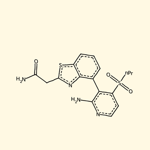 CCCS(=O)(=O)c1ccnc(N)c1-c1cccc2sc(CC(N)=O)nc12